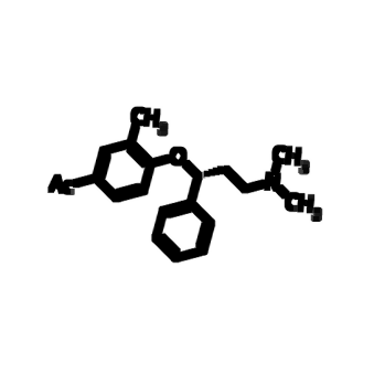 CC(=O)c1ccc(O[C@H](CCN(C)C)c2ccccc2)c(C)c1